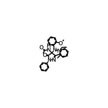 CCN(CC)N(c1ccccc1OC)C1(NC(C)=O)C(=O)N(c2ccccc2)N=C1c1ccccc1